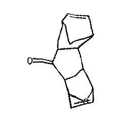 O=C1C2C3C=CC(C3)C2C2C3C=CC(O3)C12